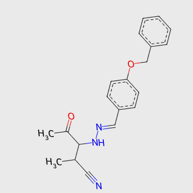 CC(=O)C(NN=Cc1ccc(OCc2ccccc2)cc1)C(C)C#N